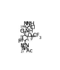 CC(=O)c1nc(-c2cc(O[C@@H](C)C(F)(F)F)c(C(=O)Nc3c(C)n[nH]c3Cl)cc2F)nn1C